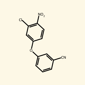 N#Cc1cccc(Oc2ccc([N+](=O)[O-])c(Cl)c2)c1